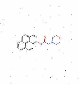 O=C(CN1CCOCC1)Oc1ccc2ccc3cccc4ccc1c2c34